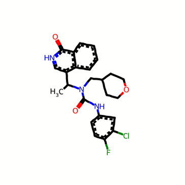 CC(c1c[nH]c(=O)c2ccccc12)N(CC1CCOCC1)C(=O)Nc1ccc(F)c(Cl)c1